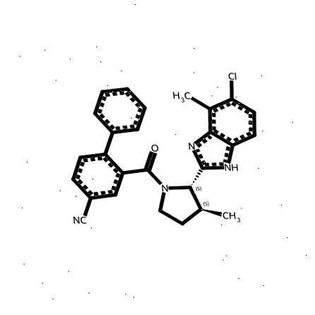 Cc1c(Cl)ccc2[nH]c([C@@H]3[C@@H](C)CCN3C(=O)c3cc(C#N)ccc3-c3ccccc3)nc12